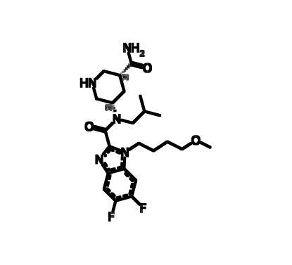 COCCCCn1c(C(=O)N(CC(C)C)[C@@H]2CNC[C@H](C(N)=O)C2)nc2cc(F)c(F)cc21